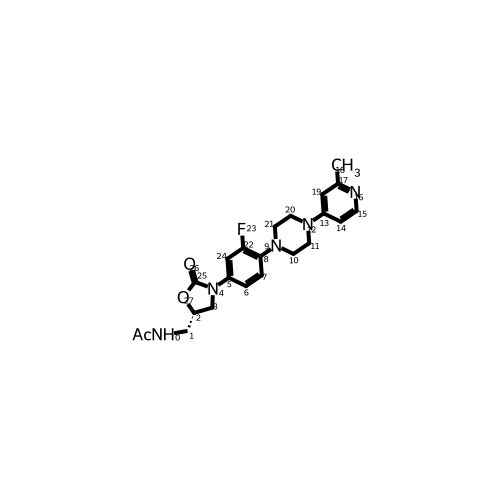 CC(=O)NC[C@H]1CN(c2ccc(N3CCN(c4ccnc(C)c4)CC3)c(F)c2)C(=O)O1